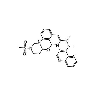 C[C@H](Nc1ncnc2cccnc12)c1cc2cccc(Cl)c2c(OC2CCN(S(C)(=O)=O)CC2)n1